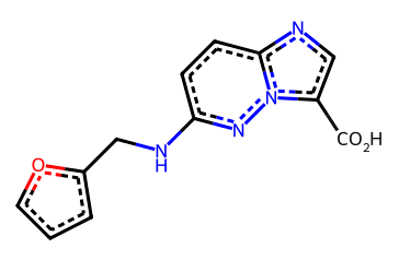 O=C(O)c1cnc2ccc(NCc3ccco3)nn12